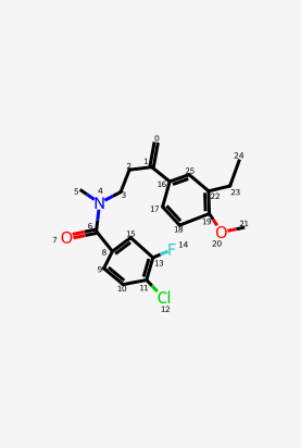 C=C(CCN(C)C(=O)c1ccc(Cl)c(F)c1)c1ccc(OC)c(CC)c1